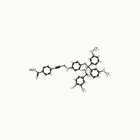 COC(=O)c1ccc(C#CCOc2ccc(CC(NC(=O)c3ccc(F)c(C(F)(F)F)c3)(c3cccc(OC(F)(F)F)c3)c3cccc(OC(F)(F)F)c3)cc2)cc1